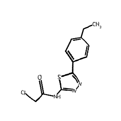 CCc1ccc(-c2nnc(NC(=O)CCl)s2)cc1